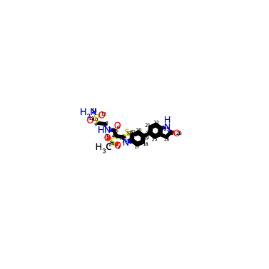 CS(=O)(=O)C(C(=O)NCCS(N)(=O)=O)c1nc2ccc(-c3ccc4c(c3)CC(=O)N4)cc2s1